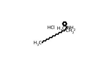 CCCCCCCCCCCCCCCCC(C)(C)C(N)c1ccccc1.Cl